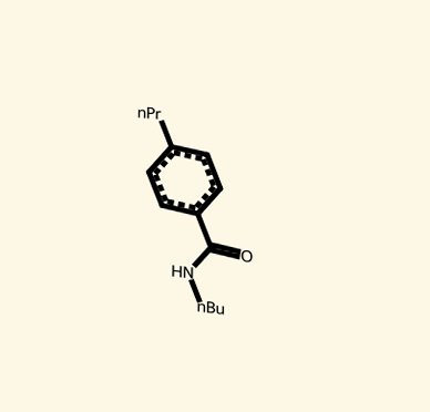 CCCCNC(=O)c1ccc(CCC)cc1